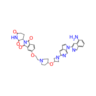 Nc1cccc2cnc(-n3ccc4cc(N5CC(OC6CCN(CCOc7ccc8c(c7)C(=O)N(C7CCC(=O)NC7=O)C8=O)CC6)C5)ncc43)cc12